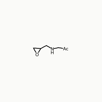 CC(=O)CNCC1CO1